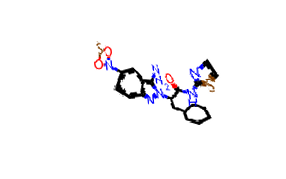 Nc1c2cc(N3OSO3)ccc2nn1C(CC1CCCCC1)C(=O)Nc1nccs1